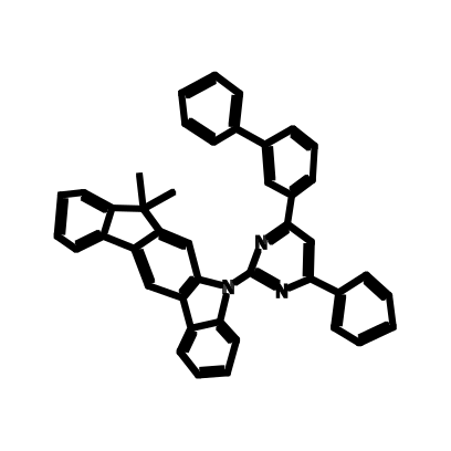 CC1(C)c2ccccc2-c2cc3c4ccccc4n(-c4nc(-c5ccccc5)cc(-c5cccc(-c6ccccc6)c5)n4)c3cc21